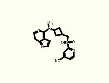 CN(C1=C2C=CN=C2CC=N1)C1CC(CS(=O)(=O)c2cc(C#N)ccn2)C1